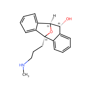 CNCCC[C@@]12O[C@@H](c3ccccc31)[C@H](O)c1ccccc12